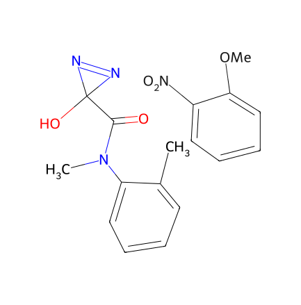 COc1ccccc1[N+](=O)[O-].Cc1ccccc1N(C)C(=O)C1(O)N=N1